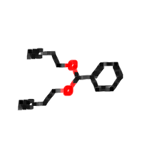 N#CCCOC(OCCC#N)c1ccccc1